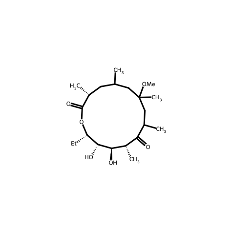 CC[C@@H]1OC(=O)[C@H](C)CC(C)CC(C)(OC)CC(C)C(=O)[C@H](C)[C@@H](O)[C@@H]1O